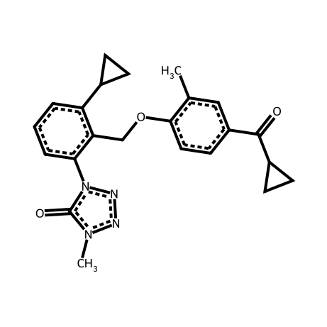 Cc1cc(C(=O)C2CC2)ccc1OCc1c(C2CC2)cccc1-n1nnn(C)c1=O